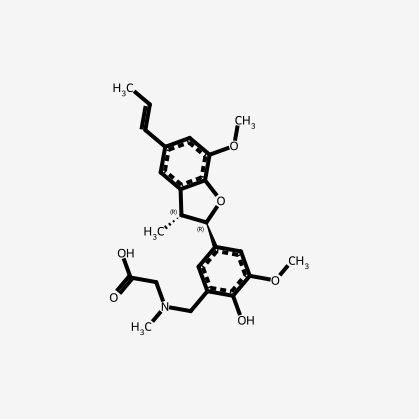 CC=Cc1cc(OC)c2c(c1)[C@@H](C)[C@H](c1cc(CN(C)CC(=O)O)c(O)c(OC)c1)O2